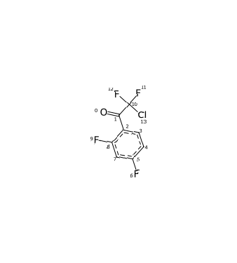 O=C(c1ccc(F)cc1F)C(F)(F)Cl